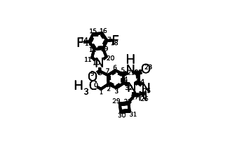 CCc1cc2c(cc1C(=O)N1Cc3c(F)ccc(F)c3C1)[nH]c(=O)c1nnc(C3=CC=C3)n12